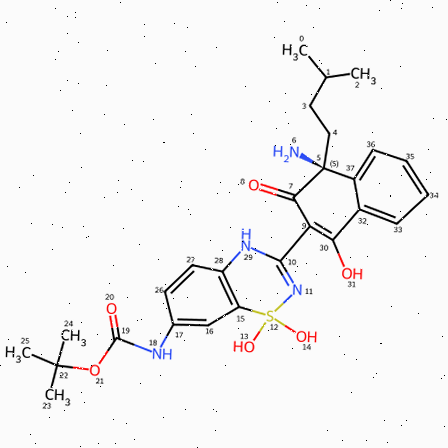 CC(C)CC[C@@]1(N)C(=O)C(C2=NS(O)(O)c3cc(NC(=O)OC(C)(C)C)ccc3N2)=C(O)c2ccccc21